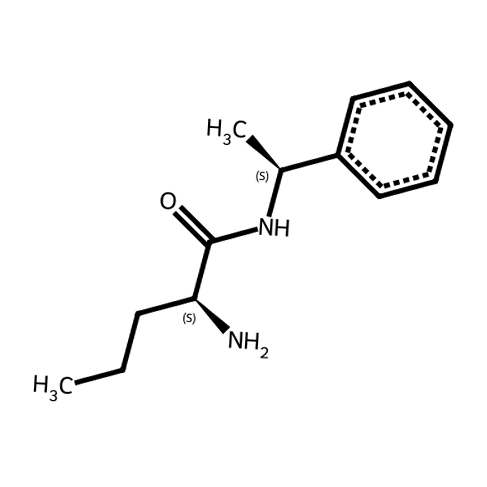 CCC[C@H](N)C(=O)N[C@@H](C)c1ccccc1